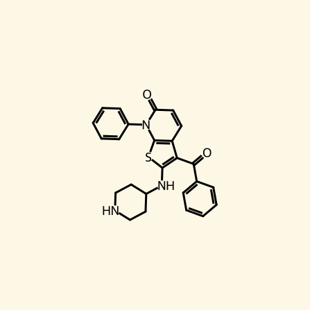 O=C(c1ccccc1)c1c(NC2CCNCC2)sc2c1ccc(=O)n2-c1ccccc1